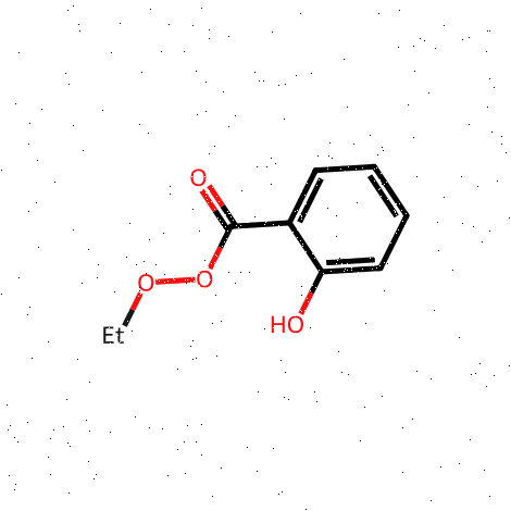 CCOOC(=O)c1ccccc1O